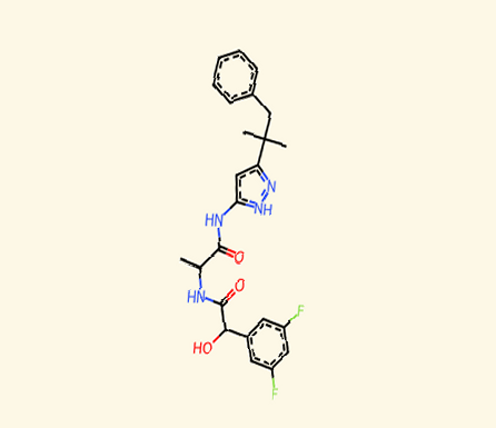 CC(NC(=O)C(O)c1cc(F)cc(F)c1)C(=O)Nc1cc(C(C)(C)Cc2ccccc2)n[nH]1